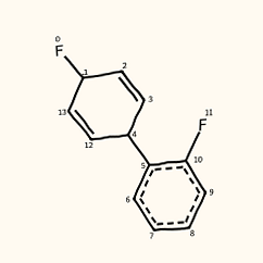 F[C]1C=CC(c2ccccc2F)C=C1